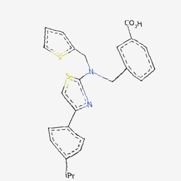 CC(C)c1ccc(-c2csc(N(Cc3cccc(C(=O)O)c3)Cc3cccs3)n2)cc1